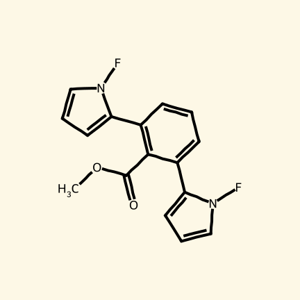 COC(=O)c1c(-c2cccn2F)cccc1-c1cccn1F